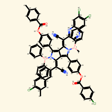 CB(c1ccccc1)n1c(-c2ccc(OC(=O)c3ccc(Cl)cc3)cc2)c2/c(=C(\C#N)c3ccc4cc(Cl)c(C)cc4c3)n(B(c3ccccc3)c3ccccc3)c(-c3ccc(OC(=O)c4ccc(C)cc4)cc3)c2/c1=C(\C#N)c1cnc2cc(Cl)c(Cl)cc2n1